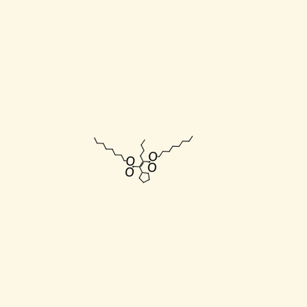 CCCCCCCCOC(=O)C(CCCC)=C(C(=O)OCCCCCCCC)C1CCCC1